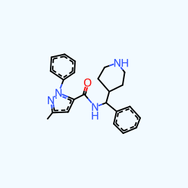 Cc1cc(C(=O)NC(c2ccccc2)C2CCNCC2)n(-c2ccccc2)n1